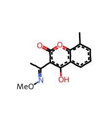 CON=C(C)c1c(O)c2cccc(C)c2oc1=O